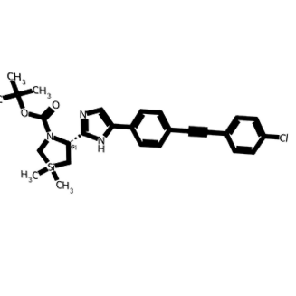 CC(C)(C)OC(=O)N1C[Si](C)(C)C[C@H]1c1ncc(-c2ccc(C#Cc3ccc(Cl)cc3)cc2)[nH]1